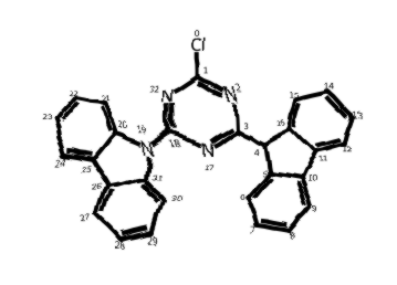 Clc1nc(C2c3ccccc3-c3ccccc32)nc(-n2c3ccccc3c3ccccc32)n1